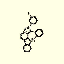 Fc1cccc(-n2c[n+]3ccc4c5ccccc5[nH]c4c3c2-c2ccccc2Br)c1